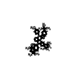 Cc1ccc(N2c3ncnc4c3B(c3cc5c(cc3N4c3ccc4c(c3)C(C)(C)CC4(C)C)C(C)(C)CC5(C)C)c3oc4ncc(C(C)(C)C)cc4c32)cc1